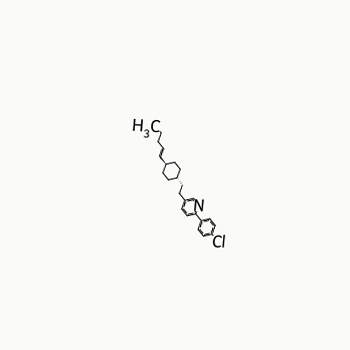 CCCC=C[C@H]1CC[C@H](CCc2ccc(-c3ccc(Cl)cc3)nc2)CC1